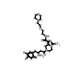 N[C@@H](CC(=O)N1CCn2c(C(F)(F)F)nc(C(=O)NCCOCCN3CCOCC3)c2C1)Cc1cc(F)c(F)cc1F